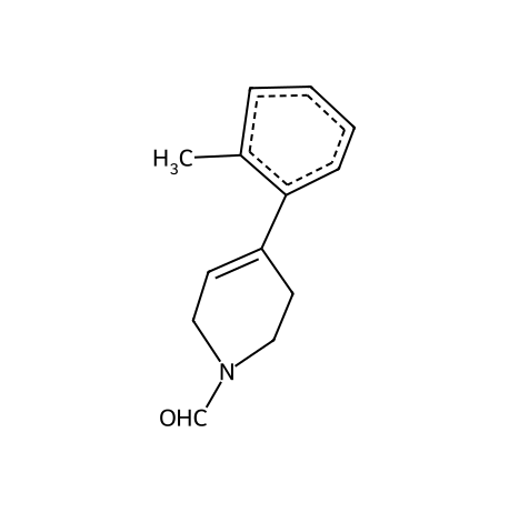 Cc1ccccc1C1=CCN(C=O)CC1